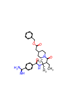 CCC(C(=O)N1CCC(CC(=O)OCc2ccccc2)CC1)C(C)(C)NC(=O)c1ccc(C(=N)N)cc1